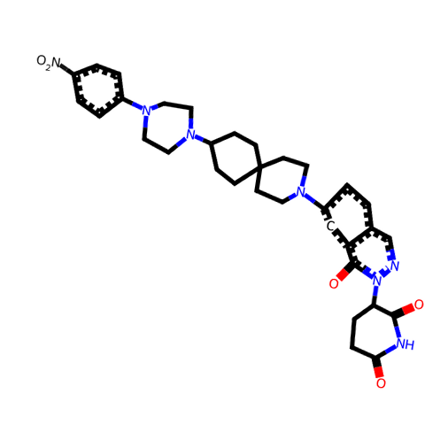 O=C1CCC(n2ncc3ccc(N4CCC5(CCC(N6CCN(c7ccc([N+](=O)[O-])cc7)CC6)CC5)CC4)cc3c2=O)C(=O)N1